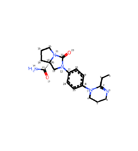 CCC1=NCCCN1c1ccc(N2C[C@@]3(C(N)=O)[CH]CCN3C2=O)cc1